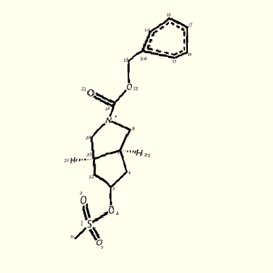 CS(=O)(=O)OC1C[C@@H]2CN(C(=O)OCc3ccccc3)C[C@@H]2C1